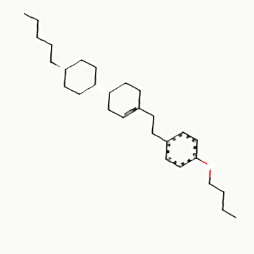 CCCCC[C@H]1CC[C@H](C2CC=C(CCc3ccc(OCCCC)cc3)CC2)CC1